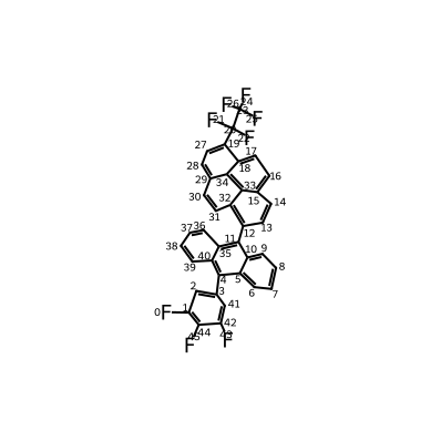 Fc1cc(-c2c3ccccc3c(-c3ccc4ccc5c(C(F)(F)C(F)(F)F)ccc6ccc3c4c65)c3ccccc23)cc(F)c1F